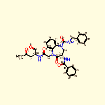 CC(=O)C[C@@H](C=O)NC(=O)CN1C(=O)[C@@H](NC(=O)c2ccccc2)CN(C(=O)NCc2ccccc2)c2ccccc21